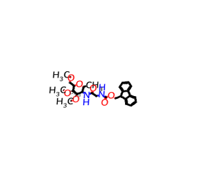 COCC1OC(C)C(NC(=O)CNC(=O)OCC2c3ccccc3-c3ccccc32)[C@@H](OC)[C@@H]1OC